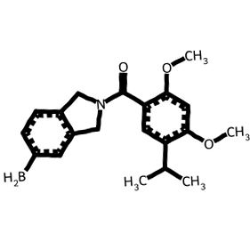 Bc1ccc2c(c1)CN(C(=O)c1cc(C(C)C)c(OC)cc1OC)C2